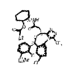 CCC(=O)OC1CCCC[C@@H]1NC(=O)C[C@H]1O[C@H](c2cccc(OC)c2Cl)c2cc(Cl)ccc2-n2c1nnc2C(F)(F)F